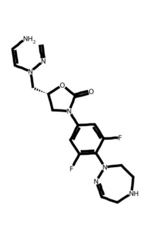 C=NN(/C=C\N)C[C@H]1CN(c2cc(F)c(N3CCNCC=N3)c(F)c2)C(=O)O1